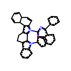 C1=CC2C=Cc3c(c4c(n3-c3nc(-c5ccccc5)c5ccccc5n3)-c3c(c5ccccc5n3-c3ccccc3)CC4)C2C=C1